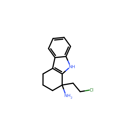 NC1(CCCl)CCCc2c1[nH]c1ccccc21